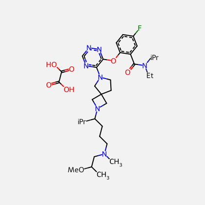 CCN(C(=O)c1cc(F)ccc1Oc1nncnc1N1CCC2(C1)CN(C(CCCN(C)CC(C)OC)C(C)C)C2)C(C)C.O=C(O)C(=O)O